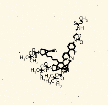 COC(=S)NC[C@H]1CN(c2ccc(-c3ccc(C(C(CCCCC45CN(C(=O)OC(C)(C)C)CC4C5C#N)C45CN(C(=O)OC(C)(C)C)CC4C5C#N)C45CN(C(=O)OC(C)(C)C)CC4C5C#N)nc3)c(F)c2)C(=O)O1